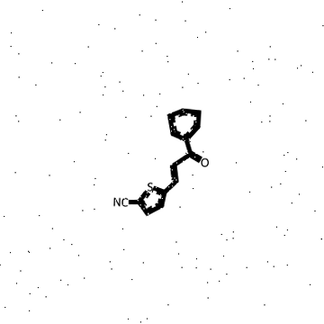 N#Cc1ccc(C=CC(=O)c2ccccc2)s1